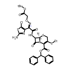 CCSC1=C(C(=O)OC(c2ccccc2)c2ccccc2)N2C(=O)C(NC(=O)/C(=N/OCC(=O)OC(C)(C)C)c3nc(N)sc3Cl)[C@H]2SC1